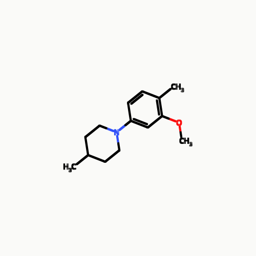 COc1cc(N2CCC(C)CC2)ccc1C